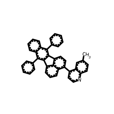 Cc1ccc2nccc(-c3ccc4c5c(cccc35)-c3c-4c(-c4ccccc4)c4ccccc4c3-c3ccccc3)c2c1